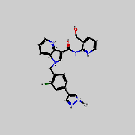 Cn1cc(-c2ccc(Cn3cc(C(=O)Nc4ncccc4CO)c4ncccc43)c(F)c2)cn1